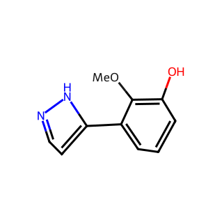 COc1c(O)cccc1-c1ccn[nH]1